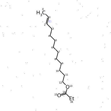 C/C=C/CCCCCCCCCCOC(=O)CC